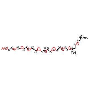 CCCCCCCCCCCCOCCC(C)OCCOCCOCCOCCOCCOCCOCCOCCO